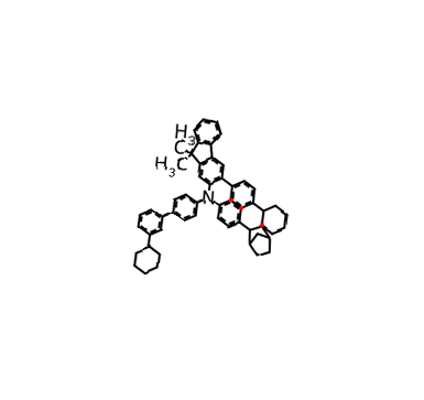 CC1(C)c2ccccc2-c2cc(-c3ccc(C4CCCCC4)cc3)c(N(c3ccc(-c4cccc(C5CCCCC5)c4)cc3)c3ccc(C4CC5CCC4C5)cc3)cc21